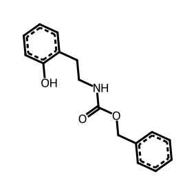 O=C(NCCc1ccccc1O)OCc1ccccc1